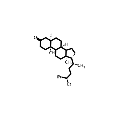 CC[C@H](CC[C@@H](C)[C@H]1CCC2[C@@H]3CC[C@@H]4CC(=O)CC[C@]4(C)C3CC[C@@]21C)C(C)C